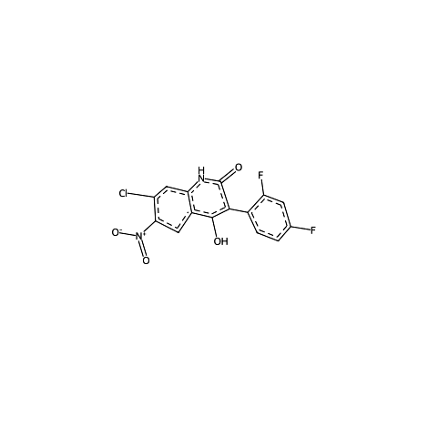 O=c1[nH]c2cc(Cl)c([N+](=O)[O-])cc2c(O)c1-c1ccc(F)cc1F